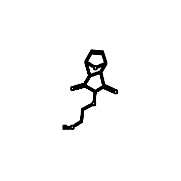 CC(C)COCCON1C(=O)C2C3C=CC(O3)C2C1=O